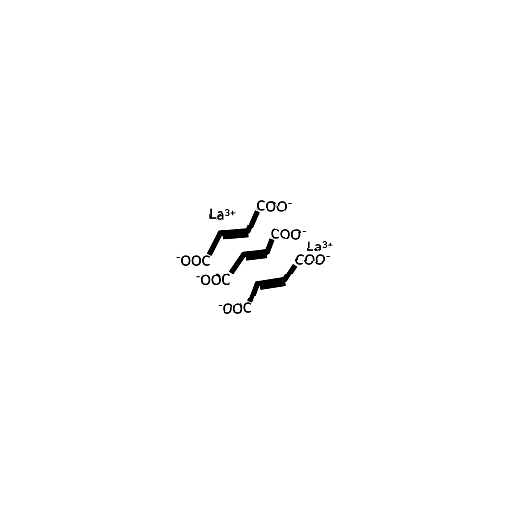 O=C([O-])/C=C/C(=O)[O-].O=C([O-])/C=C/C(=O)[O-].O=C([O-])/C=C/C(=O)[O-].[La+3].[La+3]